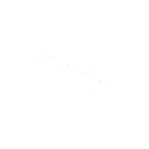 C[CH]CCCCC(F)F